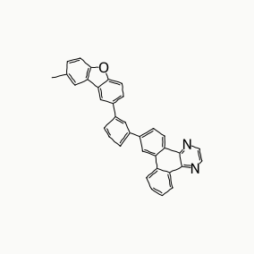 Cc1ccc2oc3ccc(-c4cccc(-c5ccc6c(c5)c5ccccc5c5nccnc65)c4)cc3c2c1